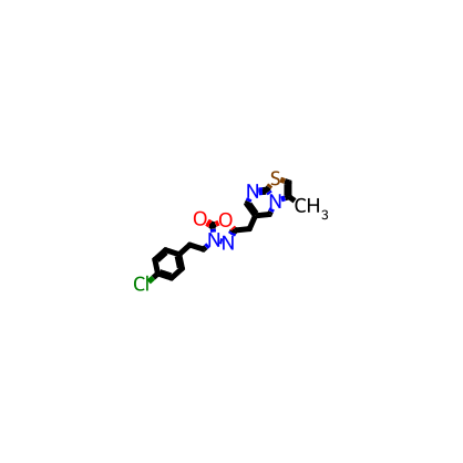 CC1=CSC2=NC=C(Cc3nn(CCc4ccc(Cl)cc4)c(=O)o3)CN12